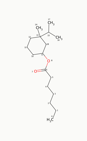 CCCCCCC(=O)OC1CCCC(C)(C(C)C)C1